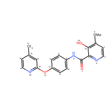 COc1ccnc(C(=O)Nc2ccc(Oc3cc(C(F)(F)F)ccn3)cc2)c1O